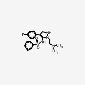 CN(C)CCN1NCC(c2ccc(F)cc2)=C1NS(=O)(=O)c1ccccc1